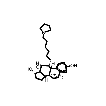 C=C[C@@]12CCc3cc(O)ccc3[C@H]1[C@@H](CCCCCCN1CCCC1)C[C@@]1(C)[C@H]2CC[C@@H]1O